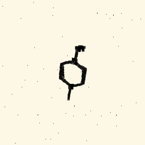 CCCN1C=CN(C)C=C1